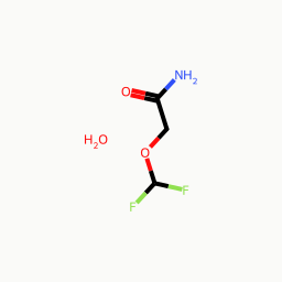 NC(=O)COC(F)F.O